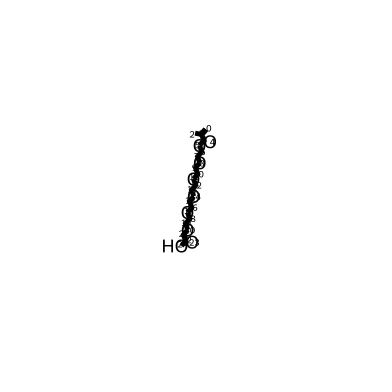 C=C(C)C(=O)OCCOCCOCCOCCOCCOCC(=O)O